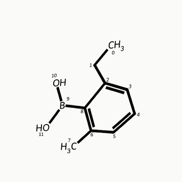 CCc1cccc(C)c1B(O)O